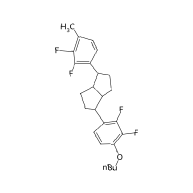 CCCCOc1ccc(C2CCC3C(c4ccc(C)c(F)c4F)CCC23)c(F)c1F